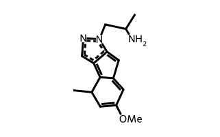 COC1=CC(C)C2=c3cnn(CC(C)N)c3=CC2=C1